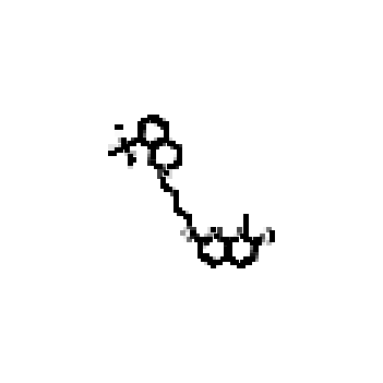 O=c1ccc2ccc(OCCCCN3CCc4cccc(C(F)(F)F)c4C3)nc2[nH]1